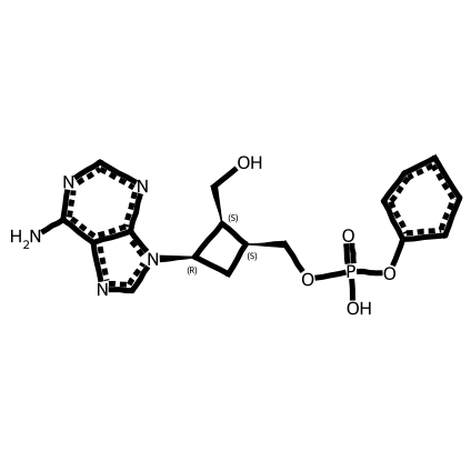 Nc1ncnc2c1ncn2[C@@H]1C[C@H](COP(=O)(O)Oc2ccccc2)[C@@H]1CO